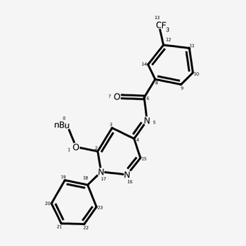 CCCCOc1c/c(=N\C(=O)c2cccc(C(F)(F)F)c2)cnn1-c1ccccc1